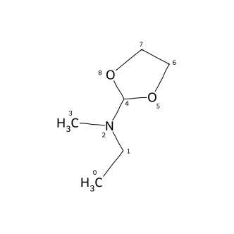 CCN(C)C1OCCO1